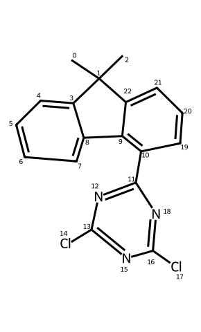 CC1(C)c2ccccc2-c2c(-c3nc(Cl)nc(Cl)n3)cccc21